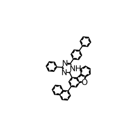 c1ccc(C2=NC(c3cc(-c4cccc5ccccc45)cc4oc5ccccc5c34)NC(c3ccc(-c4ccccc4)cc3)=N2)cc1